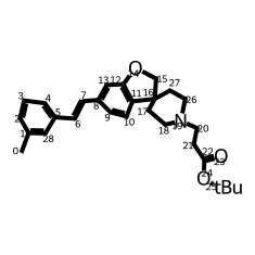 Cc1cccc(/C=C/c2ccc3c(c2)OCC32CCN(CCC(=O)OC(C)(C)C)CC2)c1